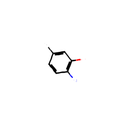 Nc1ccc([N+](=O)[O-])cc1O.[LiH]